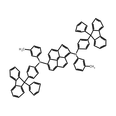 Cc1cccc(N(c2ccc(C3(c4ccccc4)c4ccccc4-c4ccccc43)cc2)c2ccc3ccc4c(N(c5ccc(C6(c7ccccc7)c7ccccc7-c7ccccc76)cc5)c5cccc(C)c5)ccc5ccc2c3c54)c1